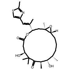 CC(=Cc1csc(C)n1)[C@@H]1C[C@@]2(C)O[C@@H]2CCC[C@H](C)[C@H](O)[C@@H](C)C(=O)C(C)(C)[C@@H](O)CC(=O)O1